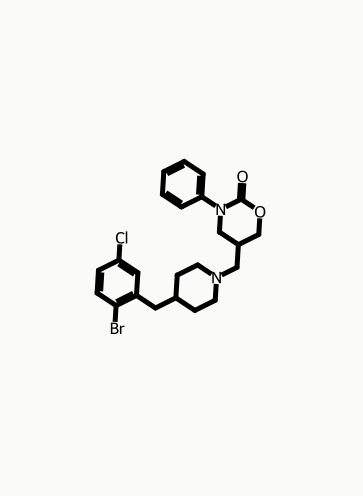 O=C1OCC(CN2CCC(Cc3cc(Cl)ccc3Br)CC2)CN1c1ccccc1